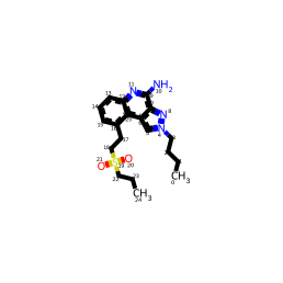 CCCCn1cc2c(n1)c(N)nc1cccc(CCS(=O)(=O)CCC)c12